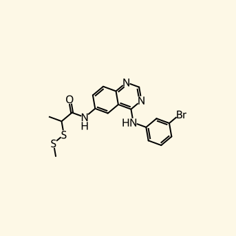 CSSC(C)C(=O)Nc1ccc2ncnc(Nc3cccc(Br)c3)c2c1